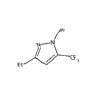 CCc1cc(C(F)(F)F)n(C(C)C)n1